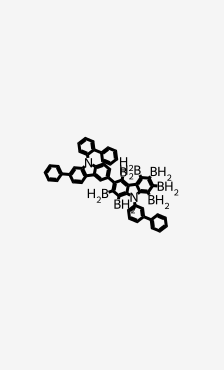 Bc1c(B)c(B)c2c(c1B)c1c(B)c(-c3ccc4c(c3)c3ccc(-c5ccccc5)cc3n4-c3ccccc3-c3ccccc3)c(B)c(B)c1n2-c1cccc(-c2ccccc2)c1